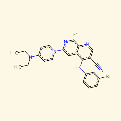 CCN(CC)c1cc[n+](-c2cc3c(Nc4cccc(Br)c4)c(C#N)cnc3cn2)cc1.[F-]